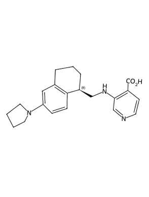 O=C(O)c1ccncc1NC[C@@H]1CCCc2cc(N3CCCC3)ccc21